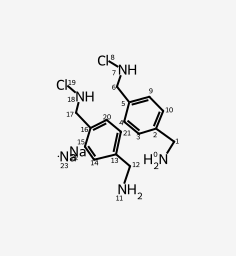 NCc1ccc(CNCl)cc1.NCc1ccc(CNCl)cc1.[Na].[Na]